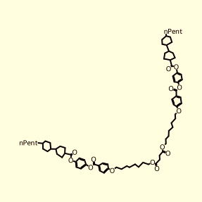 CCCCCC1CCC(C2CCC(C(=O)Oc3ccc(OC(=O)c4ccc(OCCCCCCCCOC(=O)CCC(=O)OCCCCCCCCOc5ccc(C(=O)Oc6ccc(OC(=O)C7CCC(C8CCC(CCCCC)CC8)CC7)cc6)cc5)cc4)cc3)CC2)CC1